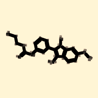 CCn1c(-c2cccc(NC(=O)OCCCl)c2)c(N)c2ccc(OC(C)C)cc21